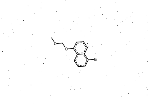 COCOc1cccc2c(Br)cccc12